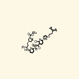 CC(C)C(CC[C@H]1CN(C(=O)OC(C)(C)C)C(C)(C)C1)Nc1cccc(S(=O)(=O)NC(=O)c2ccc(-n3ccc(OCCC4C5(CC5)C45CC5)n3)nc2Cl)n1